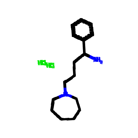 Cl.Cl.NC(CCCN1CCCCCC1)c1ccccc1